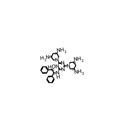 N[C@@H]1C[C@H](N)CN(c2nc(N[C@@H](c3ccccc3)[C@H](O)c3ccccc3)nc(N3C[C@H](N)C[C@H](N)C3)n2)C1